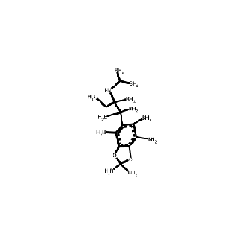 Bc1c(B)c(C(B)(B)C(B)(CC)NC(B)B)c(B)c2c1OC(B)(B)O2